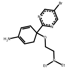 CCN(CC)CCOC1(c2ncc(Br)cn2)C=CC(N)=CC1